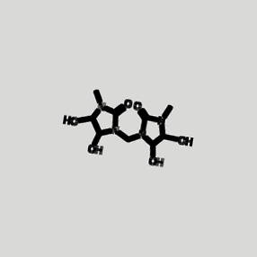 CN1C(=O)N(CN2C(=O)N(C)C(O)C2O)C(O)C1O